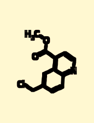 COC(=O)c1ccnc2ccc(CCl)cc12